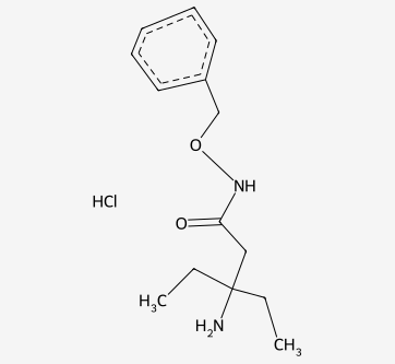 CCC(N)(CC)CC(=O)NOCc1ccccc1.Cl